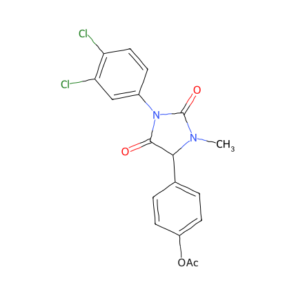 CC(=O)Oc1ccc(C2C(=O)N(c3ccc(Cl)c(Cl)c3)C(=O)N2C)cc1